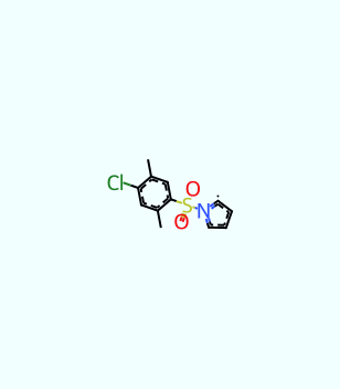 Cc1cc(S(=O)(=O)n2[c]ccc2)c(C)cc1Cl